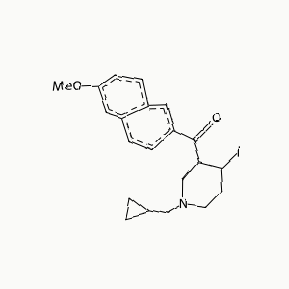 COc1ccc2cc(C(=O)C3CN(CC4CC4)CCC3I)ccc2c1